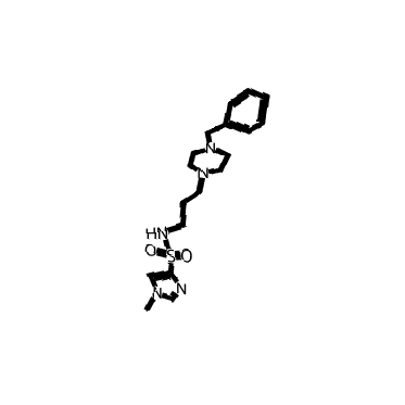 Cn1cnc(S(=O)(=O)NCCCN2CCN(Cc3ccccc3)CC2)c1